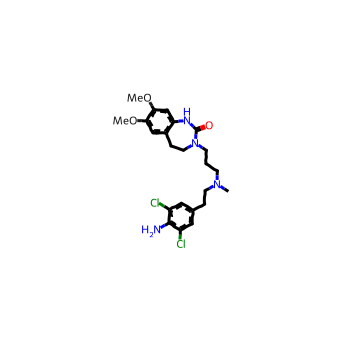 COc1cc2c(cc1OC)NC(=O)N(CCCN(C)CCc1cc(Cl)c(N)c(Cl)c1)CC2